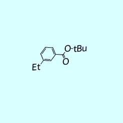 CCc1cccc(C(=O)OC(C)(C)C)c1